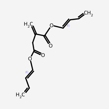 C=C/C=C/OC(=O)CC(=C)C(=O)O/C=C/C=C